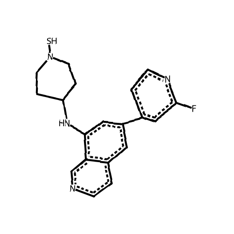 Fc1cc(-c2cc(NC3CCN(S)CC3)c3cnccc3c2)ccn1